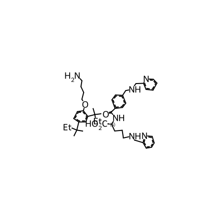 CCC(C)(C)c1ccc(OCCCCN)c(C(C)(C)CC)c1.O=C(N[C@@H](CCCNCc1ccccn1)C(=O)O)c1ccc(CNCc2ccccn2)cc1